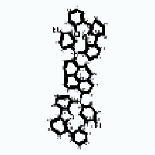 CCc1ccc(N(c2ccc3ccc4c(N(c5ccc(CC)cc5)c5cccc6c5oc5c(-c7ccccc7C)cccc56)ccc5ccc2c3c54)c2cccc3c2oc2c(-c4ccccc4C)cccc23)cc1